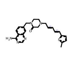 Cc1ccc(/C=C/C=C/CN2CCN(Cc3ccc4c(N)ncnc4c3)C(=O)C2)s1